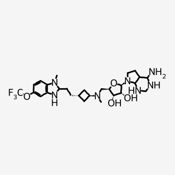 CN1c2ccc(OC(F)(F)F)cc2NC1CC[C@H]1C[C@H](N(C)C[C@H]2O[C@@H](N3CCC4C(N)NCNC43)[C@H](O)[C@@H]2O)C1